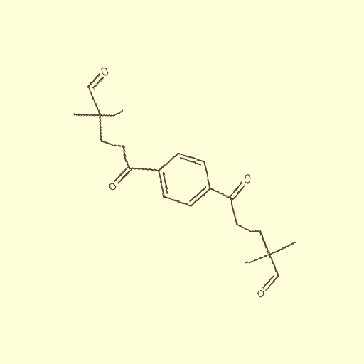 CC(C)(C=O)CCC(=O)c1ccc(C(=O)CCC(C)(C)C=O)cc1